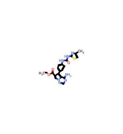 CCOC(=O)c1cn2ncnc(N)c2c1-c1ccc(NC(=O)Nc2nc(C)cs2)cc1